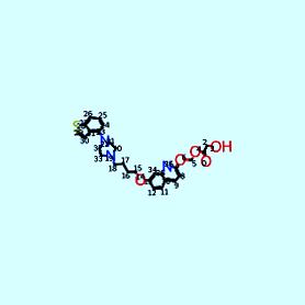 O=C(CO)OCOc1ccc2ccc(OCCCCN3CCN(c4cccc5sccc45)CC3)cc2n1